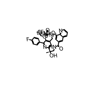 COc1cc(C(=O)NC[C@](C)(O)c2cc(CNS(=O)(=O)C(C)(C)C)c(OCC(F)(F)F)c(-c3ccc(F)cc3)n2)cc2cccnc12